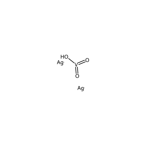 [Ag].[Ag].[O]=[V](=[O])[OH]